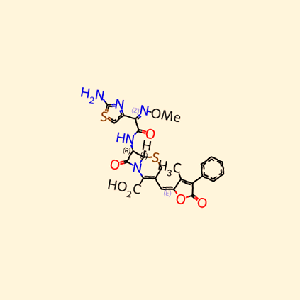 CO/N=C(\C(=O)N[C@@H]1C(=O)N2C(C(=O)O)=C(/C=C3/OC(=O)C(c4ccccc4)=C3C)CS[C@@H]12)c1csc(N)n1